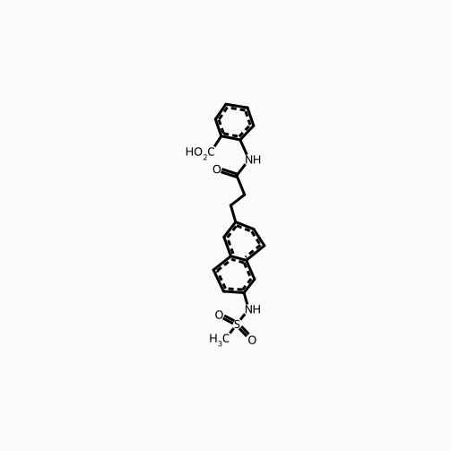 CS(=O)(=O)Nc1ccc2cc(CCC(=O)Nc3ccccc3C(=O)O)ccc2c1